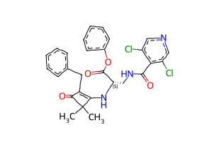 CC1(C)C(=O)C(Cc2ccccc2)=C1N[C@@H](CNC(=O)c1c(Cl)cncc1Cl)C(=O)Oc1ccccc1